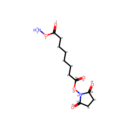 NOC(=O)CCCCCCC(=O)ON1C(=O)CCC1=O